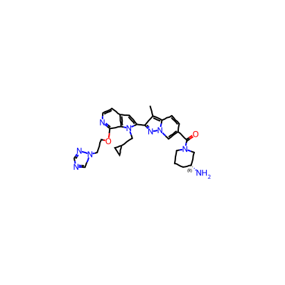 Cc1c(-c2cc3ccnc(OCCn4cncn4)c3n2CC2CC2)nn2cc(C(=O)N3CCC[C@@H](N)C3)ccc12